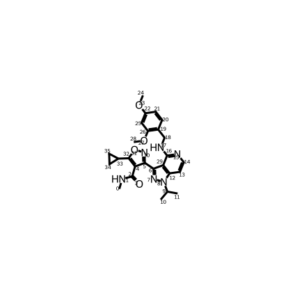 CNC(=O)c1c(-c2nn(C(C)C)c3ccnc(NCc4ccc(OC)cc4OC)c23)noc1C1CC1